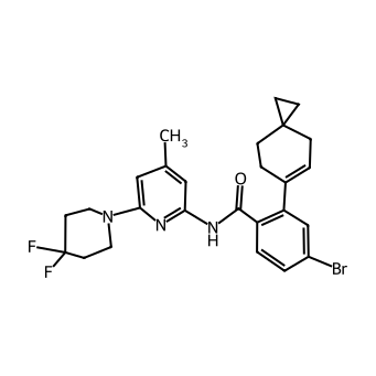 Cc1cc(NC(=O)c2ccc(Br)cc2C2=CCC3(CC2)CC3)nc(N2CCC(F)(F)CC2)c1